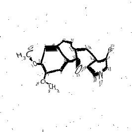 COc1cc2c(cc1OC)C(=O)C(=Cc1ccncc1Br)CC2